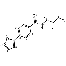 CCCCNC(=O)c1ccc(-c2ccco2)cc1